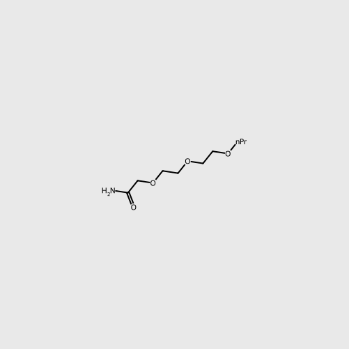 CCCOCCOCCOCC(N)=O